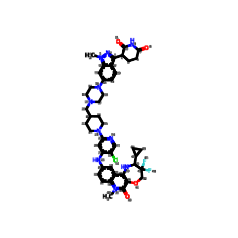 Cn1nc(C2CCC(=O)NC2=O)c2ccc(N3CCN(CC4CCN(c5cc(Nc6ccc7c(c6)c6c(c(=O)n7C)OCC(F)(F)C(C7CC7)N6)c(Cl)cn5)CC4)CC3)cc21